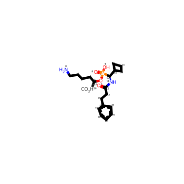 NCCCCC(OP(=O)(O)[C@H](NC(=O)CCc1ccccc1)C1CCC1)C(=O)O